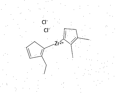 CCC1=[C]([Zr+2][C]2=CCC(C)=C2C)CC=C1.[Cl-].[Cl-]